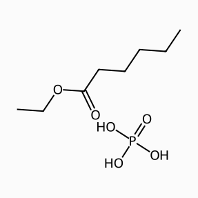 CCCCCC(=O)OCC.O=P(O)(O)O